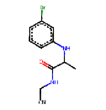 CC(Nc1cccc(Br)c1)C(=O)NCC#N